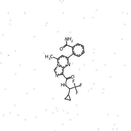 Cc1cc(-c2ccccc2C(N)=O)nc2c(C(=O)NC(C3CC3)C(F)(F)F)ncn12